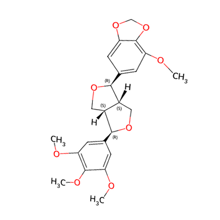 COc1cc([C@@H]2OC[C@@H]3[C@H]2CO[C@H]3c2cc(OC)c3c(c2)OCO3)cc(OC)c1OC